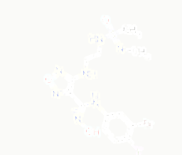 CN=S(C)(=O)NCCNc1nonc1/C(=N/O)Nc1ccc(F)c(Br)c1